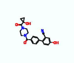 N#Cc1cc(O)ccc1-c1ccc(C(=O)N2CCN(C(=O)C3(O)CC3)CC2)cc1